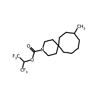 CC1CCCCC2(CC1)CCN(C(=O)OC(C(F)(F)F)C(F)(F)F)CC2